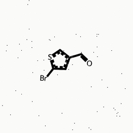 O=[C]c1csc(Br)c1